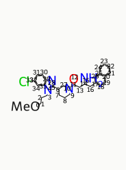 COCCCn1c([C@@H]2CCCN(C(=O)C[C@H](N)Cc3ccc4ccccc4c3)C2)nc2ccc(Cl)cc21